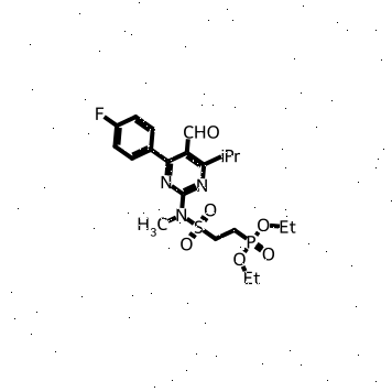 CCOP(=O)(CCS(=O)(=O)N(C)c1nc(-c2ccc(F)cc2)c(C=O)c(C(C)C)n1)OCC